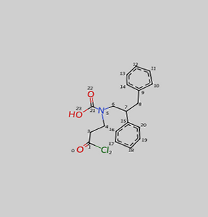 O=C(Cl)CCN(CC(Cc1ccccc1)c1ccccc1)C(=O)O